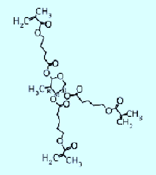 C=C(C)C(=O)OCCCCC(=O)OC1OC[C@@H](OC(=O)CCCCOC(=O)C(=C)C)[C@H](OC(=O)CCCCOC(=O)C(=C)C)[C@H]1C